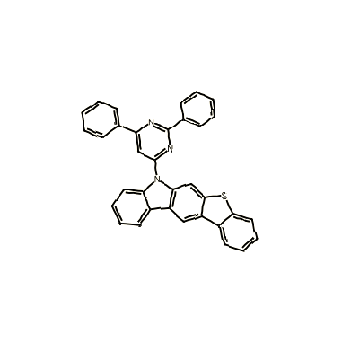 c1ccc(-c2cc(-n3c4ccccc4c4cc5c(cc43)sc3ccccc35)nc(-c3ccccc3)n2)cc1